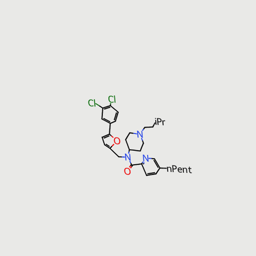 CCCCCc1ccc(C(=O)N(Cc2ccc(-c3ccc(Cl)c(Cl)c3)o2)C2CCN(CCC(C)C)CC2)nc1